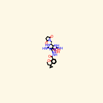 N=C1NC2[C@H](CN3C(=O)CCC3=O)NC(=N)N3CC(NC(=O)c4cccc5c4OCCC54CC4)C(O)(O)C23N1